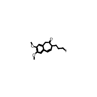 COc1cc2c(cc1OC)CC(=O)C(CCCI)C=C2